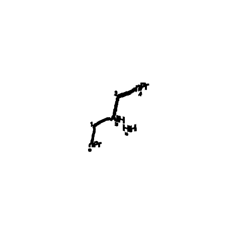 CCC[CH2][AlH][CH2]CCC.[HH]